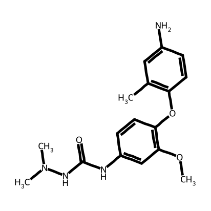 COc1cc(NC(=O)NN(C)C)ccc1Oc1ccc(N)cc1C